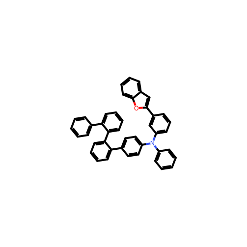 c1ccc(-c2ccccc2-c2ccccc2-c2ccc(N(c3ccccc3)c3cccc(-c4cc5ccccc5o4)c3)cc2)cc1